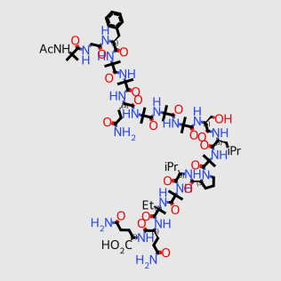 CC[C@](C)(NC(=O)C(C)(C)NC(=O)[C@@H](NC(=O)[C@@H]1CCCN1C(=O)C(C)(C)NC(=O)[C@H](CC(C)C)NC(=O)[C@H](CO)NC(=O)C(C)(C)NC(=O)C(C)(C)NC(=O)C(C)(C)NC(=O)[C@H](CCC(N)=O)NC(=O)C(C)(C)NC(=O)C(C)(C)NC(=O)[C@H](Cc1ccccc1)NC(=O)CNC(=O)C(C)(C)NC(C)=O)C(C)C)C(=O)N[C@@H](CCC(N)=O)C(=O)N[C@@H](CCC(N)=O)C(=O)O